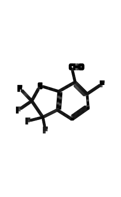 O=Cc1c(F)ccc2c1SC(F)(F)C2(F)F